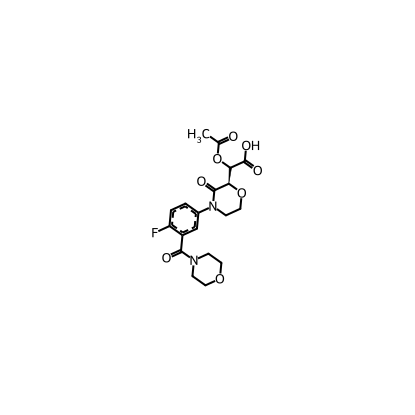 CC(=O)OC(C(=O)O)[C@H]1OCCN(c2ccc(F)c(C(=O)N3CCOCC3)c2)C1=O